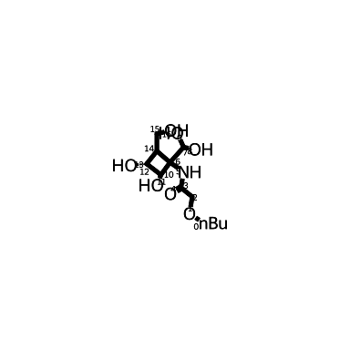 CCCCOCC(=O)NC1(C(O)O)C(O)[C@H](O)C1CO